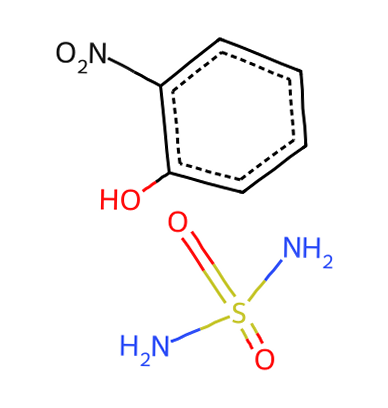 NS(N)(=O)=O.O=[N+]([O-])c1ccccc1O